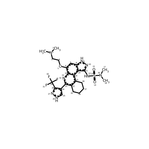 CN(C)CCOc1cc2[nH]nc(NS(=O)(=O)N(C)C)c2c2c3c(c(-c4c[nH]nc4C(F)(F)F)nc12)CCCC3